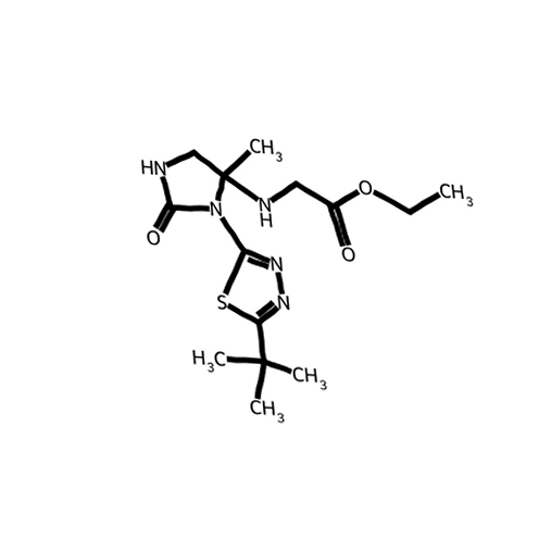 CCOC(=O)CNC1(C)CNC(=O)N1c1nnc(C(C)(C)C)s1